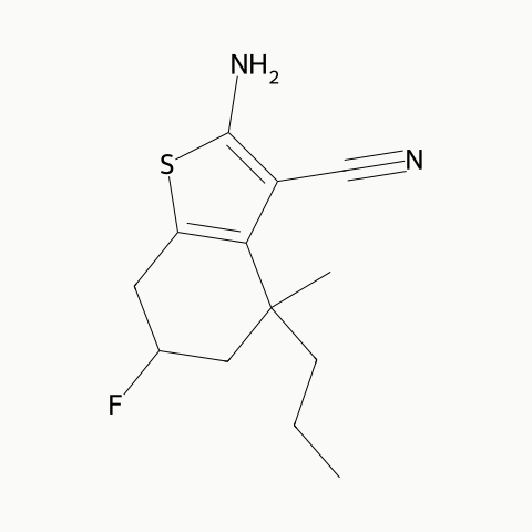 CCCC1(C)CC(F)Cc2sc(N)c(C#N)c21